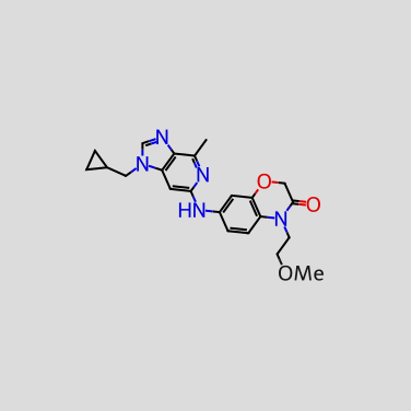 COCCN1C(=O)COc2cc(Nc3cc4c(ncn4CC4CC4)c(C)n3)ccc21